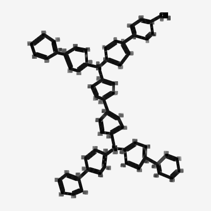 Cc1ccc(-c2ccc(N(c3ccc(-c4ccccc4)cc3)c3ccc(-c4ccc(N(c5ccc(-c6ccccc6)cc5)c5ccc(-c6ccccc6)cc5)cc4)cc3)cc2)cc1